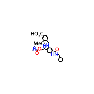 COc1cc(C(=O)O)ccc1Cn1nc(COC(=O)N(C)C)c2ccc(C(=O)NCC3CCCC3)cc21